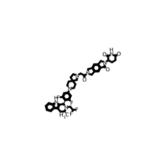 C[C@@H]1Cc2c([nH]c3ccccc23)[C@@H](c2c(F)cc(N3CCC4(CCN(CC(=O)N5Cc6cc7c(cc6C5)C(=O)N(C5CCC(=O)NC5=O)C7)C4)CC3)cc2F)N1CC(F)F